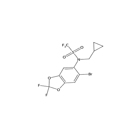 O=S(=O)(N(CC1CC1)c1cc2c(cc1Br)OC(F)(F)O2)C(F)(F)F